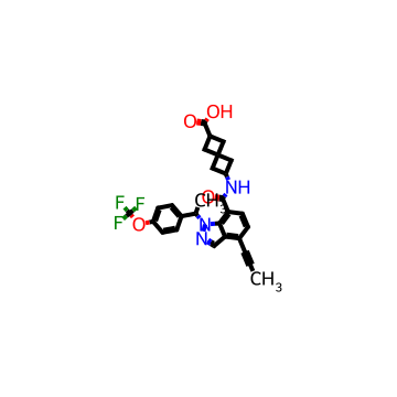 CC#Cc1ccc(C(=O)NC2CC3(C2)CC(C(=O)O)C3)c2c1cnn2C(C)c1ccc(OC(F)(F)F)cc1